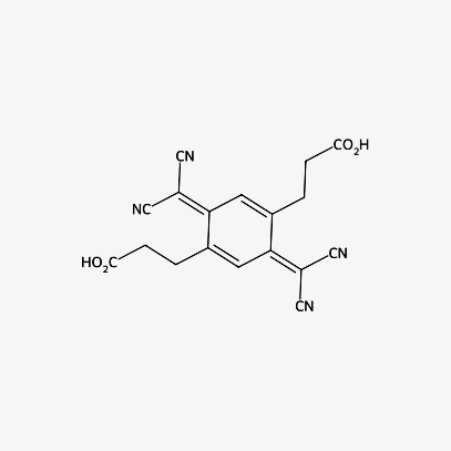 N#CC(C#N)=c1cc(CCC(=O)O)c(=C(C#N)C#N)cc1CCC(=O)O